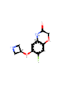 O=C1COc2cc(F)c(OC3CNC3)cc2N1